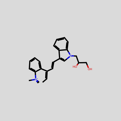 C=[N+](C)c1ccccc1C(=C\C)/C=C/c1cn(CC(O)CO)c2ccccc12